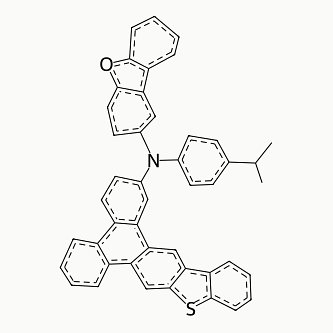 CC(C)c1ccc(N(c2ccc3oc4ccccc4c3c2)c2ccc3c4ccccc4c4cc5sc6ccccc6c5cc4c3c2)cc1